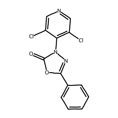 O=c1oc(-c2ccccc2)nn1-c1c(Cl)cncc1Cl